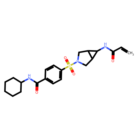 C=CC(=O)NC1C2CN(S(=O)(=O)c3ccc(C(=O)NC4CCCCC4)cc3)CC21